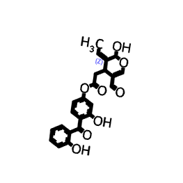 C/C=C1\C(O)OC=C(C=O)C1CC(=O)Oc1ccc(C(=O)c2ccccc2O)c(O)c1